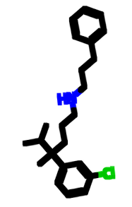 CC(C)C(C)(CCCNCCCc1ccccc1)c1cccc(Cl)c1